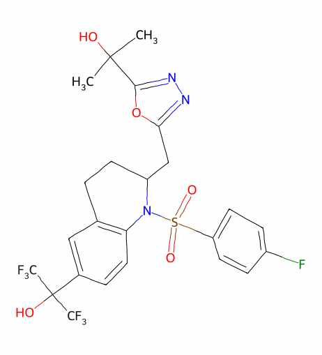 CC(C)(O)c1nnc(CC2CCc3cc(C(O)(C(F)(F)F)C(F)(F)F)ccc3N2S(=O)(=O)c2ccc(F)cc2)o1